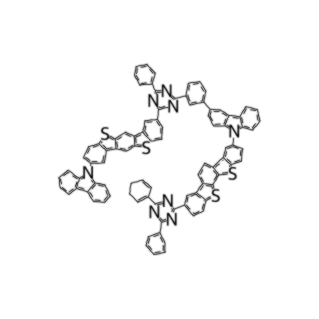 C1=CC(c2nc(-c3ccccc3)nc(-c3ccc4sc5c(ccc6c7cc(-n8c9ccccc9c9cc(-c%10cccc(-c%11nc(-c%12ccccc%12)nc(-c%12ccc%13sc%14cc%15c(cc%14c%13c%12)sc%12ccc(-n%13c%14ccccc%14c%14ccccc%14%13)cc%12%15)n%11)c%10)ccc98)ccc7sc65)c4c3)n2)=CCC1